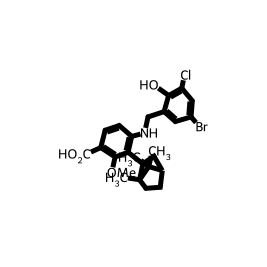 COc1c(C(=O)O)ccc(NCc2cc(Br)cc(Cl)c2O)c1C1CC2CCC1(C)C2(C)C